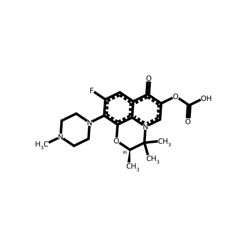 C[C@H]1Oc2c(N3CCN(C)CC3)c(F)cc3c(=O)c(OC(=O)O)cn(c23)C1(C)C